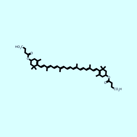 CC1=C(/C=C/C(C)=C/C=C/C(C)=C/C=C/C=C(C)/C=C/C=C(C)/C=C/C2=C(C)CC(OC(=O)CCC(=O)O)CC2(C)C)C(C)(C)CC(OC(=O)CCC(=O)O)C1